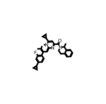 CC(C)=C(/C=C1/N=C(C(=O)N2CCc3ccccc3C2C)C=C(C2CC2)N1C)c1ccc(C2CC2)cc1F